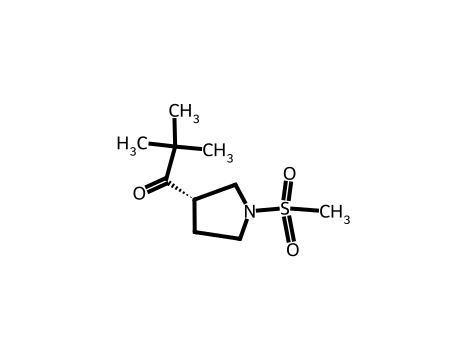 CC(C)(C)C(=O)[C@H]1CCN(S(C)(=O)=O)C1